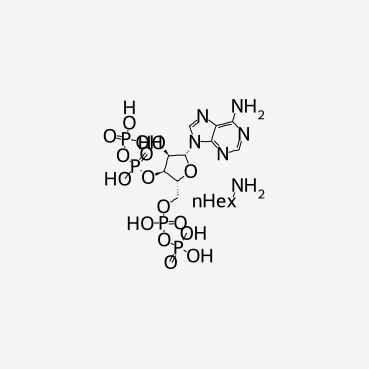 CCCCCCN.Nc1ncnc2c1ncn2[C@@H]1O[C@H](COP(=O)(O)OP(=O)(O)O)[C@@H](OP(=O)(O)OP(=O)(O)O)[C@H]1O